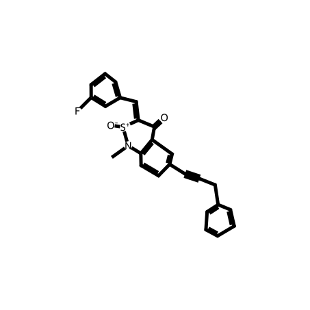 CN1c2ccc(C#CCc3ccccc3)cc2C(=O)/C(=C/c2cccc(F)c2)[S+]1[O-]